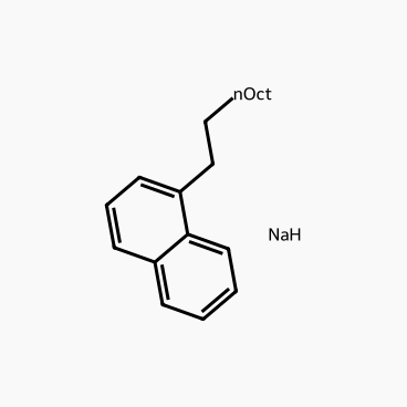 CCCCCCCCCCc1cccc2ccccc12.[NaH]